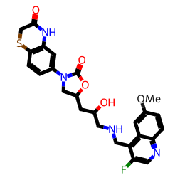 COc1ccc2ncc(F)c(CNCC(O)CC3CN(c4ccc5c(c4)NC(=O)CS5)C(=O)O3)c2c1